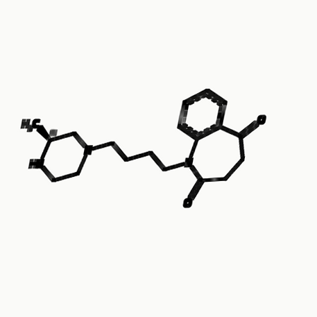 C[C@H]1CN(CCCCN2C(=O)CCC(=O)c3ccccc32)CCN1